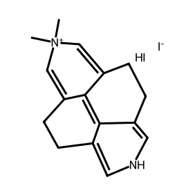 C[N+]1(C)C=C2CCC3=CNC=C4CCC(=C1)C2=C34.I.[I-]